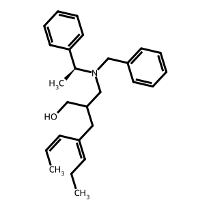 C/C=C\C(=C/CC)CC(CO)CN(Cc1ccccc1)[C@@H](C)c1ccccc1